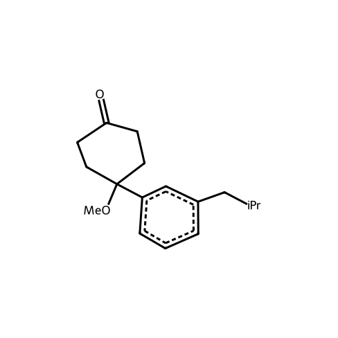 COC1(c2cccc(CC(C)C)c2)CCC(=O)CC1